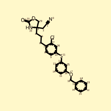 N#CCC1(CCCc2ccc(Sc3cccc(OCc4ccccc4)c3)cc2Cl)COC(=O)N1